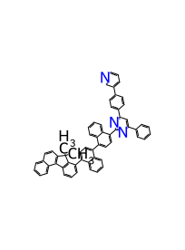 CC1(C)c2ccc3ccccc3c2-c2cccc(-c3ccc(-c4ccc(-c5nc(-c6ccccc6)cc(-c6ccc(-c7cccnc7)cc6)n5)c5ccccc45)c4ccccc34)c21